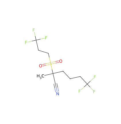 CC(C#N)(CCCC(F)(F)F)S(=O)(=O)CCC(F)(F)F